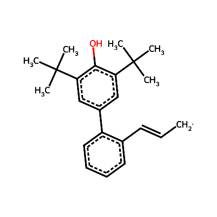 [CH2]/C=C/c1ccccc1-c1cc(C(C)(C)C)c(O)c(C(C)(C)C)c1